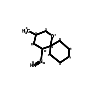 CC1COC2(CCCCC2)C(N=N)C1